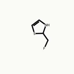 FC[C]1NC=CS1